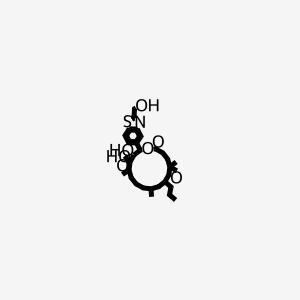 CCCC1CC(C)CCCC2(C)OC2(O)C(O)C(c2ccc3sc(CO)nc3c2)OC(=O)CCC(C)(C)C1=O